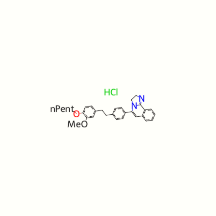 CCCCCOc1ccc(CCc2ccc(C3=Cc4ccccc4C4=NCCN34)cc2)cc1OC.Cl